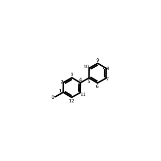 Cc1ccc(-c2cc[c]cc2)cc1